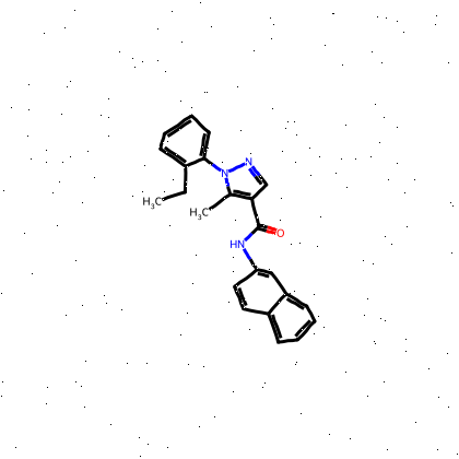 CCc1ccccc1-n1ncc(C(=O)Nc2ccc3ccccc3c2)c1C